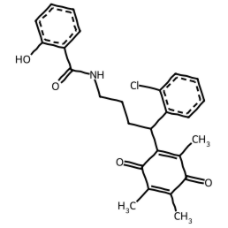 CC1=C(C)C(=O)C(C(CCCNC(=O)c2ccccc2O)c2ccccc2Cl)=C(C)C1=O